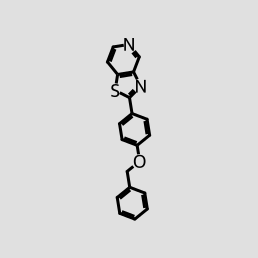 c1ccc(COc2ccc(-c3nc4cnccc4s3)cc2)cc1